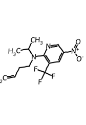 C=CCCN(c1ncc([N+](=O)[O-])cc1C(F)(F)F)C(C)C